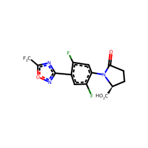 O=C(O)[C@@H]1CCC(=O)N1c1cc(F)c(-c2noc(C(F)(F)F)n2)cc1F